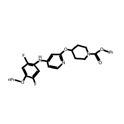 CCCOc1cc(F)c(Nc2ccnc(OC3CCN(C(=O)OC(C)C)CC3)c2)cc1F